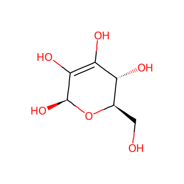 OC[C@H]1O[C@@H](O)C(O)=C(O)[C@@H]1O